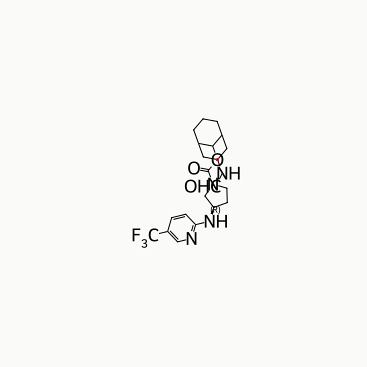 O=CNC1CC2CCCC(C1)C2OC(=O)N1CC[C@@H](Nc2ccc(C(F)(F)F)cn2)C1